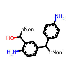 CCCCCCCCCC(O)c1cc(C(CCCCCCCCC)c2ccc(N)cc2)ccc1N